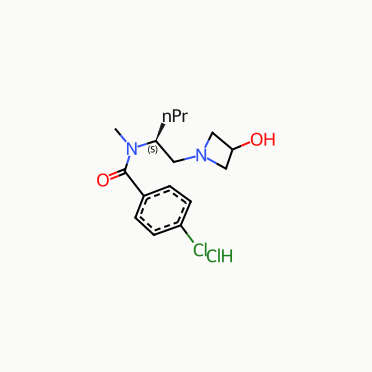 CCC[C@@H](CN1CC(O)C1)N(C)C(=O)c1ccc(Cl)cc1.Cl